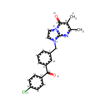 Cc1nc2n(Cc3cccc(C(=O)c4ccc(Cl)cc4)c3)ccn2c(=O)c1C